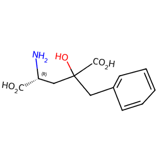 N[C@H](CC(O)(Cc1ccccc1)C(=O)O)C(=O)O